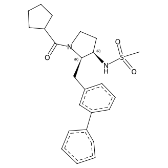 CS(=O)(=O)N[C@@H]1CCN(C(=O)C2CCCC2)[C@@H]1Cc1cccc(-c2ccccc2)c1